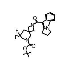 CC(C)(C)OC(=O)N1CC(F)(F)CC2(C1)CN(C(=O)c1c3n(c4ccccc14)CCC3)C2